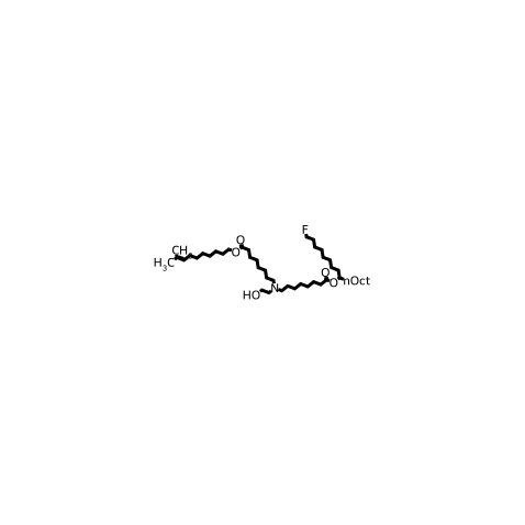 CCCCCCCCC(CCCCCCCCF)OC(=O)CCCCCCCN(CCO)CCCCCCCC(=O)OCCCCCCCC=C(C)C